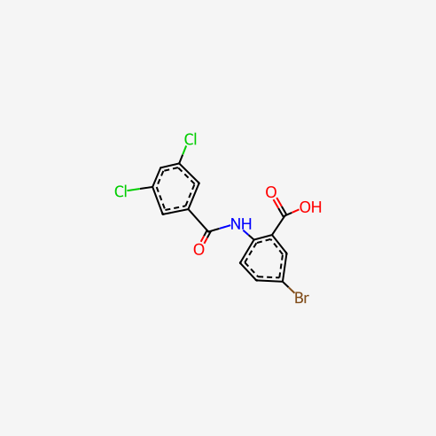 O=C(Nc1ccc(Br)cc1C(=O)O)c1cc(Cl)cc(Cl)c1